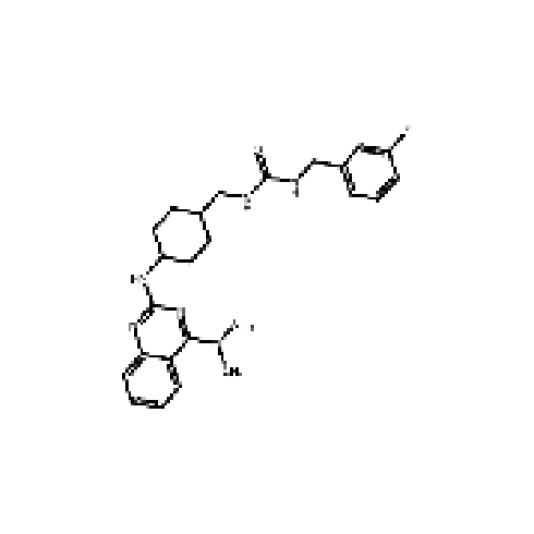 CN(C)c1nc(NC2CCC(CNC(=O)NCc3cccc(F)c3)CC2)nc2ccccc12